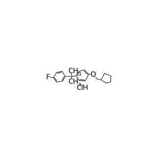 CC(C)(c1ccc(F)cc1)c1ccc(OCC2CCCC2)cc1.Cl